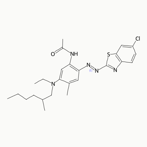 CCCCC(C)CN(CC)c1cc(NC(C)=O)c(/N=N/c2nc3ccc(Cl)cc3s2)cc1C